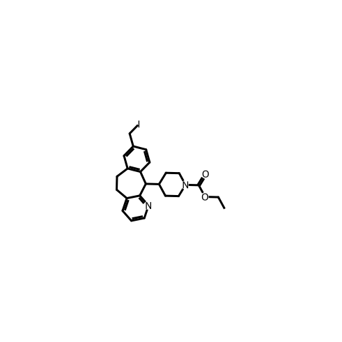 CCOC(=O)N1CCC(C2c3ccc(CI)cc3CCc3cccnc32)CC1